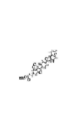 CC(C)(C)OC(=O)CCc1cc(Cl)c(/C=C/c2ccc(C(=O)Nc3ccc4ccccc4n3)cc2[N+](=O)[O-])c(Cl)c1